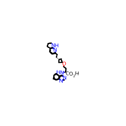 O=C(O)C(CCO[C@H]1C[C@@H](CCc2ccc3c(n2)NCCC3)C1)Nc1ncnc2ccccc12